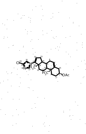 CC(=O)O[C@H]1CC[C@@]2(C)C(=CCC3C2CC[C@]2(C)C(n4cnc(Cl)c4)=CCC32)C1